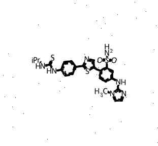 CC(C)NC(=S)Nc1ccc(-c2ncc(-c3ccc(Nc4nccn4C)cc3S(N)(=O)=O)s2)cc1